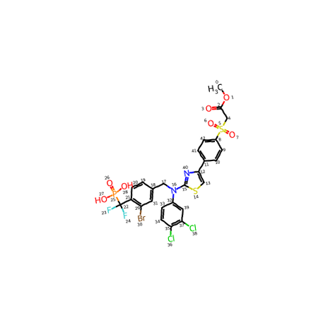 COC(=O)CS(=O)(=O)c1ccc(-c2csc(N(Cc3ccc(C(F)(F)P(=O)(O)O)c(Br)c3)c3ccc(Cl)c(Cl)c3)n2)cc1